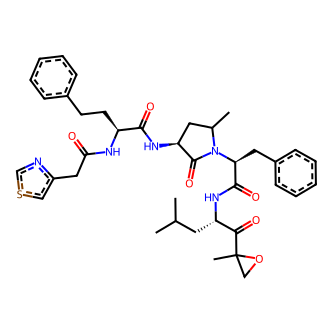 CC(C)C[C@H](NC(=O)[C@H](Cc1ccccc1)N1C(=O)[C@@H](NC(=O)[C@H](CCc2ccccc2)NC(=O)Cc2cscn2)CC1C)C(=O)C1(C)CO1